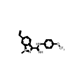 C=Cc1ccc2c(C(=N)Nc3ccc(OC(F)(F)F)cc3)nn(C)c2c1